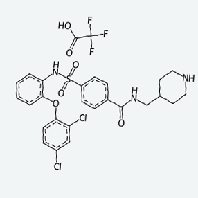 O=C(NCC1CCNCC1)c1ccc(S(=O)(=O)Nc2ccccc2Oc2ccc(Cl)cc2Cl)cc1.O=C(O)C(F)(F)F